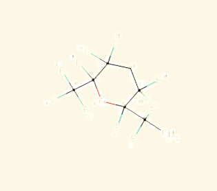 CC(F)(F)C1(F)OC(F)(C(F)(F)F)C(F)(F)CC1(F)F